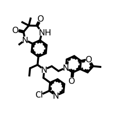 CCC(c1ccc2c(c1)N(C)C(=O)C(C)(C)C(=O)N2)N(CCn1ccc2oc(C)cc2c1=O)Cc1cccnc1Cl